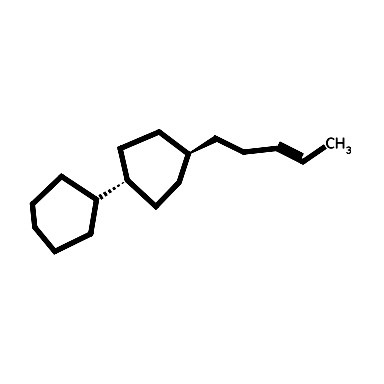 CC=CCC[C@H]1CC[C@H](C2CCCCC2)CC1